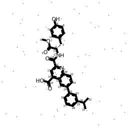 COC(=O)[C@H](Cc1ccc(O)cc1)NC(=O)c1cc(C(=O)O)c2cc(-c3cccc(C(C)C)c3)ccc2n1